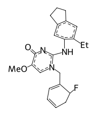 CCc1cc2c(cc1Nc1nc(=O)c(OC)cn1CC1=CC=CCC1F)CCC2